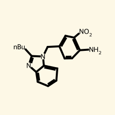 CCCCc1nc2ccccc2n1Cc1ccc(N)c([N+](=O)[O-])c1